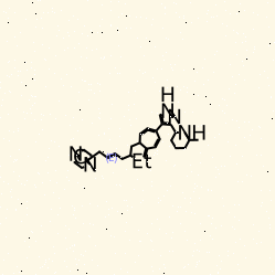 C=C1C=CC(c2c[nH]nc2C2CCCC(C)N2)=C=CC1CC(CC)C/C=C/CC1CN2CCN1CC2